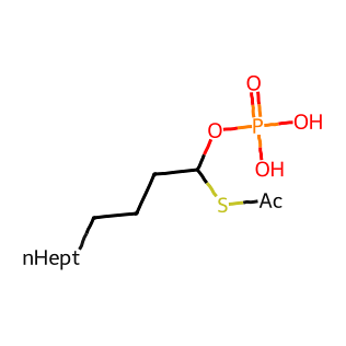 CCCCCCCCCCC(OP(=O)(O)O)SC(C)=O